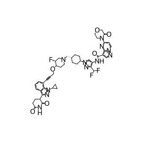 O=C1CCC(c2nn(C3CC3)c3c(C#CCO[C@@H]4CCN(C[C@H]5CC[C@H](n6cc(NC(=O)c7cnn8ccc(N9CCOCC9=O)nc78)c(C(F)F)n6)CC5)C[C@@H]4F)cccc23)C(=O)N1